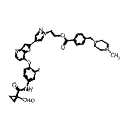 CN1CCN(Cc2ccc(C(=O)OCCn3cc(-c4cc5nccc(Oc6ccc(NC(=O)C7(C=O)CC7)cc6F)c5s4)cn3)cc2)CC1